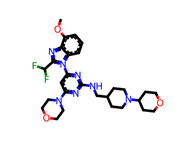 COc1cccc2c1nc(C(F)F)n2-c1cc(N2CCOCC2)nc(NCC2CCN(C3CCOCC3)CC2)n1